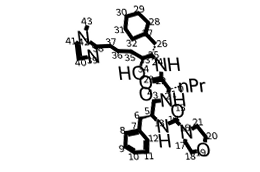 CCC[C@H](NC(=O)[C@H](Cc1ccccc1)NC(=O)N1CCOCC1)C(=O)N[C@@H](CC1CCCCC1)[C@@H](O)CCCc1nccn1C